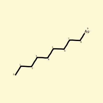 CCCCCCCCC[As]